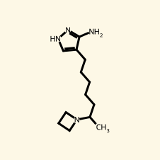 CC(CCCCCc1c[nH]nc1N)N1CCC1